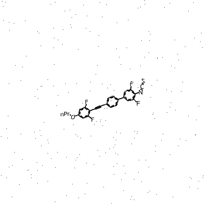 CCCOc1cc(F)c(C#Cc2ccc(-c3cc(F)c(N=C=S)c(F)c3)cc2)c(F)c1